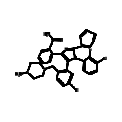 CN1CCN(Cc2ccc(Cl)cc2-c2c(-c3ccccc3C(N)=O)nc(-c3ccccc3)n2-c2cccc(Cl)c2F)CC1